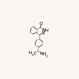 CC(N)c1ccc(-c2n[nH]c(=O)c3ccccc23)cc1